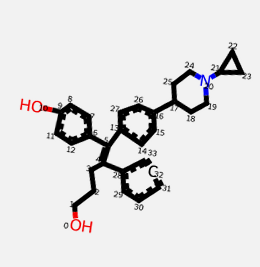 OCCC/C(=C(\c1ccc(O)cc1)c1ccc(C2CCN(C3CC3)CC2)cc1)c1ccccc1